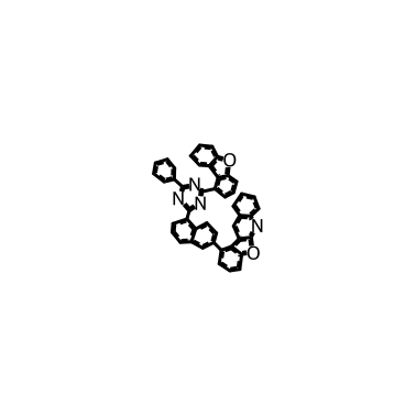 c1ccc(-c2nc(-c3cccc4cc(-c5cccc6oc7nc8ccccc8cc7c56)ccc34)nc(-c3cccc4oc5ccccc5c34)n2)cc1